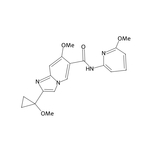 COc1cccc(NC(=O)c2cn3cc(C4(OC)CC4)nc3cc2OC)n1